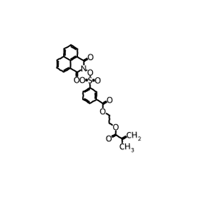 C=C(C)C(=O)OCCOC(=O)c1cccc(S(=O)(=O)ON2C(=O)c3cccc4cccc(c34)C2=O)c1